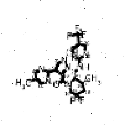 Cc1cnc(-c2cn(C)nc2C(=O)N2CC(F)(F)C[C@@H](C)[C@H]2CNc2ncc(C(F)(F)F)cn2)nc1